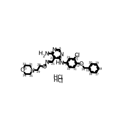 Cl.Cl.Nc1ncnc(Nc2ccc(OCc3ccccc3)c(Cl)c2)c1C=NOCCN1CCOCC1